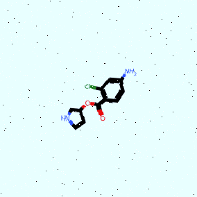 Nc1ccc(C(=O)OC2CCNC2)c(Cl)c1